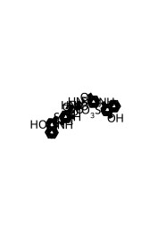 Cc1cc(Nc2c(S(=O)(=O)O)cc(O)c3ccccc23)ccc1S(=O)(=O)NC(=O)NS(=O)(=O)c1ccc(Nc2c(S(=O)(=O)O)cc(O)c3ccccc23)cc1C